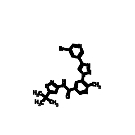 Cc1ncc(C(=O)Nc2cc(C(C)(C)C)on2)cc1-n1cc(-c2cncc(Br)c2)nn1